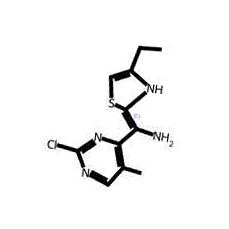 CCC1=CS/C(=C(/N)c2nc(Cl)ncc2C)N1